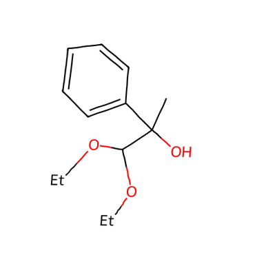 CCOC(OCC)C(C)(O)c1ccccc1